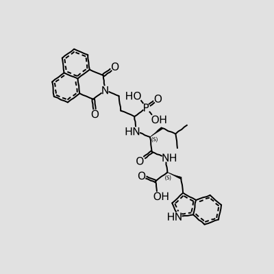 CC(C)C[C@H](NC(CCN1C(=O)c2cccc3cccc(c23)C1=O)P(=O)(O)O)C(=O)N[C@@H](Cc1c[nH]c2ccccc12)C(=O)O